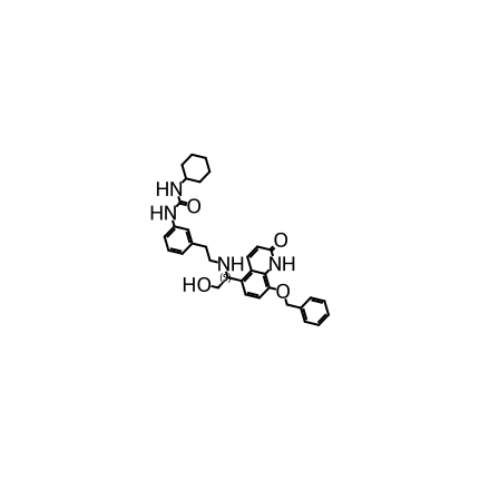 O=C(Nc1cccc(CCN[C@H](CO)c2ccc(OCc3ccccc3)c3[nH]c(=O)ccc23)c1)NC1CCCCC1